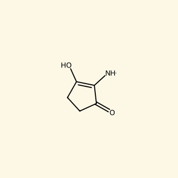 [NH]C1=C(O)CCC1=O